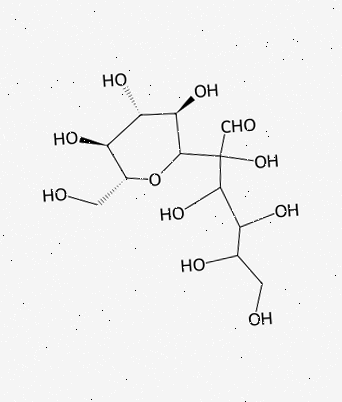 O=CC(O)(C(O)C(O)C(O)CO)C1O[C@H](CO)[C@@H](O)[C@H](O)[C@H]1O